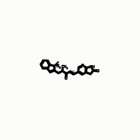 CN(Cc1cc2ccccc2n1C)C(=O)/C=C/c1cnc2c(c1)CC(=O)N2